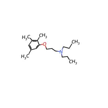 CCCN(CCC)CCCOc1cc(C)cc(C)c1C